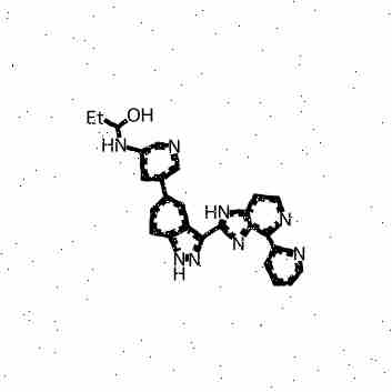 CCC(O)Nc1cncc(-c2ccc3[nH]nc(-c4nc5c(-c6ccccn6)nccc5[nH]4)c3c2)c1